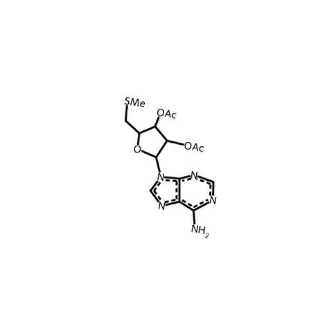 CSCC1OC(n2cnc3c(N)ncnc32)C(OC(C)=O)C1OC(C)=O